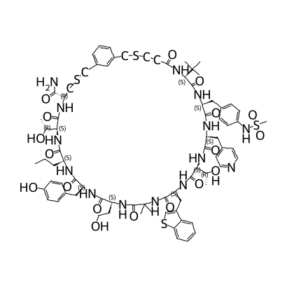 CCC[C@@H]1NC(=O)[C@H](Cc2ccc(O)cc2)NC(=O)[C@H](CCO)NC(=O)C(C)(C)NC(=O)[C@H](Cc2csc3ccccc23)NC(=O)[C@H]([C@@H](C)O)NC(=O)[C@H](Cc2ccncc2)NC(=O)[C@H](Cc2ccc(NS(C)(=O)=O)cc2)NC(=O)[C@H](C(C)(C)C)NC(=O)CCSCc2cccc(c2)CSC[C@@H](C(N)=O)NC(=O)[C@H]([C@@H](C)O)NC1=O